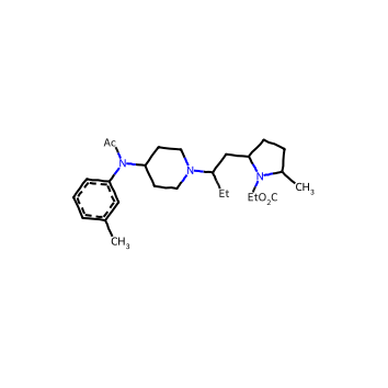 CCOC(=O)N1C(C)CCC1CC(CC)N1CCC(N(C(C)=O)c2cccc(C)c2)CC1